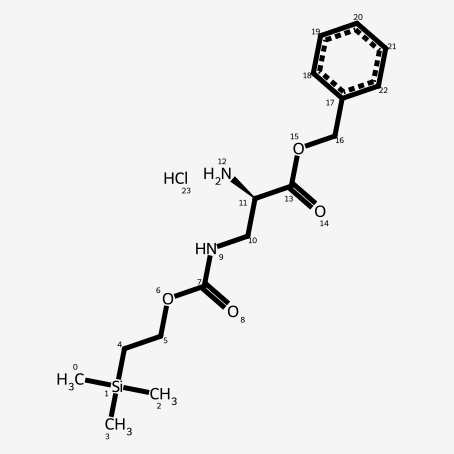 C[Si](C)(C)CCOC(=O)NC[C@@H](N)C(=O)OCc1ccccc1.Cl